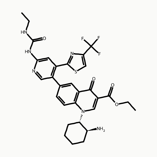 CCNC(=O)Nc1cc(-c2nc(C(F)(F)F)cs2)c(-c2ccc3c(c2)c(=O)c(C(=O)OCC)cn3[C@H]2CCCC[C@@H]2N)cn1